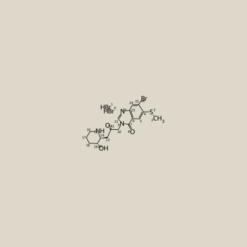 Br.Br.CSc1cc2c(=O)n(CC(=O)C[C@@H]3NCCC[C@H]3O)cnc2cc1Br